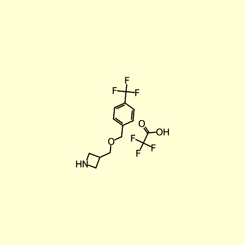 FC(F)(F)c1ccc(COCC2CNC2)cc1.O=C(O)C(F)(F)F